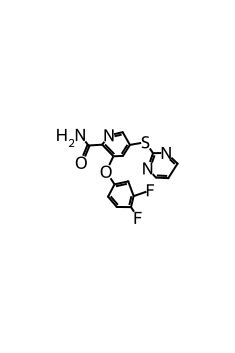 NC(=O)c1ncc(Sc2ncccn2)cc1Oc1ccc(F)c(F)c1